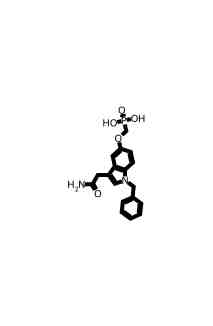 NC(=O)Cc1cn(Cc2ccccc2)c2ccc(OCP(=O)(O)O)cc12